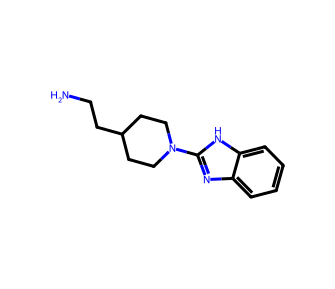 NCCC1CCN(c2nc3ccccc3[nH]2)CC1